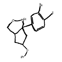 CC(C)OC1CC2CONC2(c2ccc(F)c(Br)c2)C1